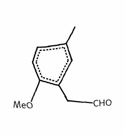 COc1ccc(C)cc1CC=O